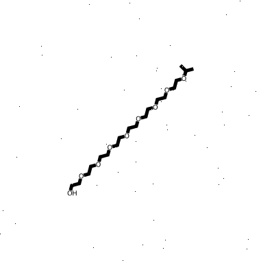 CC(C)OCCOCCOCCOCCOCCOCCOCCOCCO